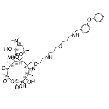 CC[C@H]1OC(=O)[C@H](C)C(=O)[C@H](C)[C@@H](O[C@@H]2O[C@H](C)C[C@H](N(C)C)[C@H]2O)[C@@](C)(OC)C[C@@H](C)/C(=N\OCCNCCCOCCCNCc2cccc(Oc3ccccc3)c2)[C@@H](C)[C@@H](O)[C@]1(C)O